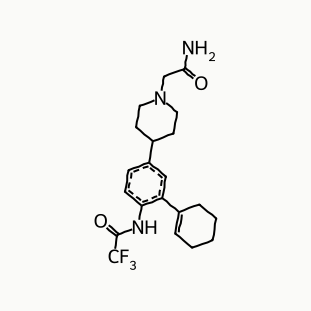 NC(=O)CN1CCC(c2ccc(NC(=O)C(F)(F)F)c(C3=CCCCC3)c2)CC1